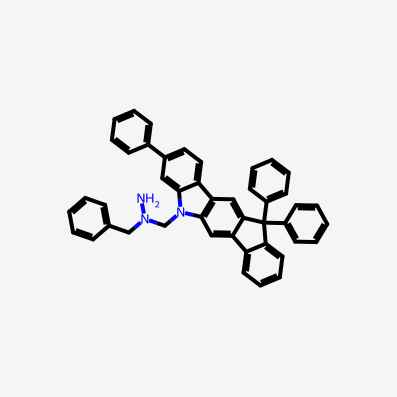 NN(Cc1ccccc1)Cn1c2cc(-c3ccccc3)ccc2c2cc3c(cc21)-c1ccccc1C3(c1ccccc1)c1ccccc1